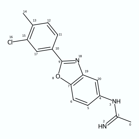 CC(=N)Nc1ccc2oc(-c3ccc(C)c(Cl)c3)nc2c1